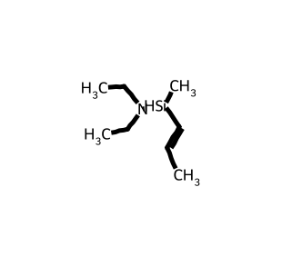 CC=C[SiH](C)N(CC)CC